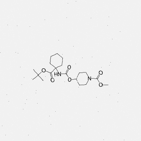 COC(=O)N1CCC(OC(=O)NC2(C(=O)OC(C)(C)C)CCCCC2)CC1